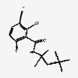 CC(C)(C)CC(C)(C)NC(=O)c1c(F)ccc(F)c1O